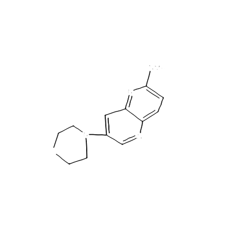 CNc1ccc2ncc(N3CCOCC3)cc2n1